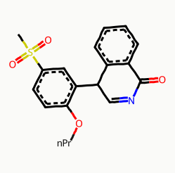 CCCOc1ccc(S(C)(=O)=O)cc1C1C=NC(=O)c2ccccc21